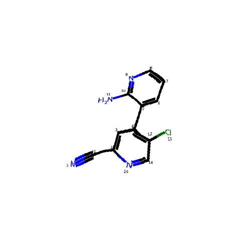 N#Cc1cc(-c2cccnc2N)c(Cl)cn1